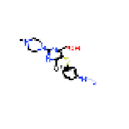 COc1nc(N2CCN(C)CC2)nc(CO)c1Sc1cccc(N)c1